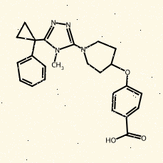 Cn1c(N2CCC(Oc3ccc(C(=O)O)cc3)CC2)nnc1C1(c2ccccc2)CC1